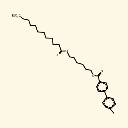 CCOC(=O)CCCCCCCCCCC(=O)OCCCCCCOC(=O)c1ccc(-c2ccc(C)cc2)cc1